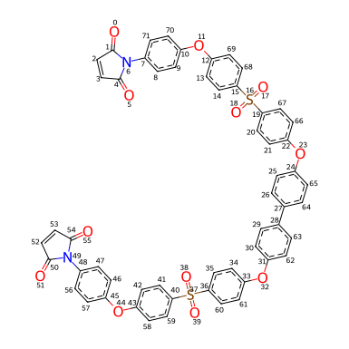 O=C1C=CC(=O)N1c1ccc(Oc2ccc(S(=O)(=O)c3ccc(Oc4ccc(-c5ccc(Oc6ccc(S(=O)(=O)c7ccc(Oc8ccc(N9C(=O)C=CC9=O)cc8)cc7)cc6)cc5)cc4)cc3)cc2)cc1